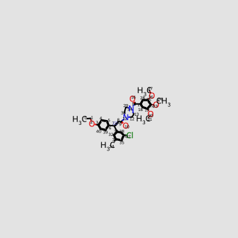 CCOc1ccc(/C(=C/C(=O)N2CCN(C(=O)c3cc(OC)c(OC)c(OC)c3)CC2)c2cc(C)cc(Cl)c2)cc1